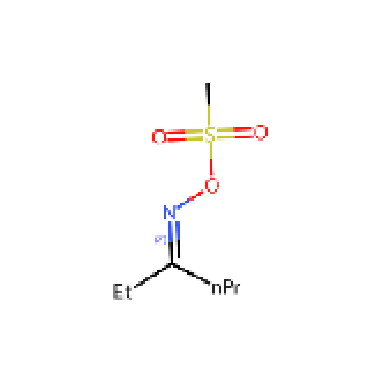 CCC/C(CC)=N\OS(C)(=O)=O